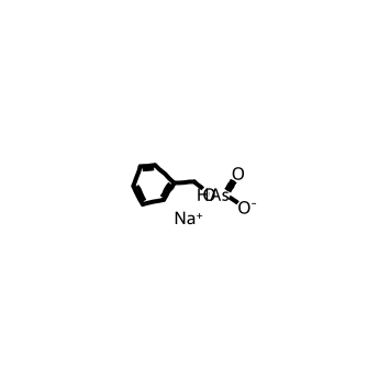 O=[AsH]([O-])OCc1ccccc1.[Na+]